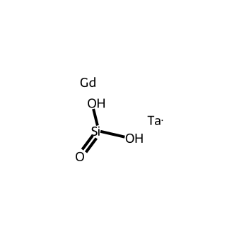 O=[Si](O)O.[Gd].[Ta]